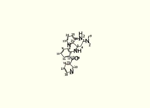 CN(C)CCC(Nc1ccccc1C(=O)c1cccnc1)c1ncccc1N